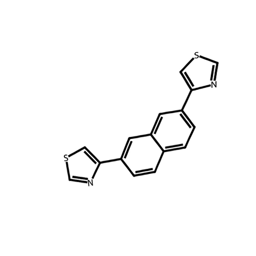 c1nc(-c2ccc3ccc(-c4cscn4)cc3c2)cs1